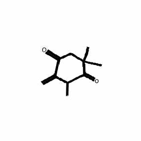 C=C1C(=O)CC(C)(C)C(=O)C1C